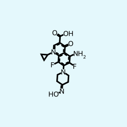 Nc1c(F)c(N2CCC(=NO)CC2)c(F)c2c1c(=O)c(C(=O)O)cn2C1CC1